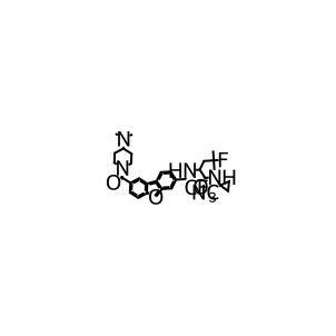 CN(C)C1CCN(C(=O)c2ccc3oc4cc(C(NC(CC(C)(C)F)C(=O)NC5(C#N)CC5)C(F)(F)F)ccc4c3c2)CC1